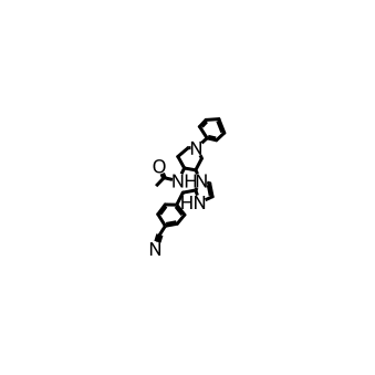 CC(=O)NC1CCN(c2ccccc2)CC1N1C=CNC1Cc1ccc(C#N)cc1